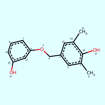 Cc1cc(COc2cccc(O)c2)cc(C)c1O